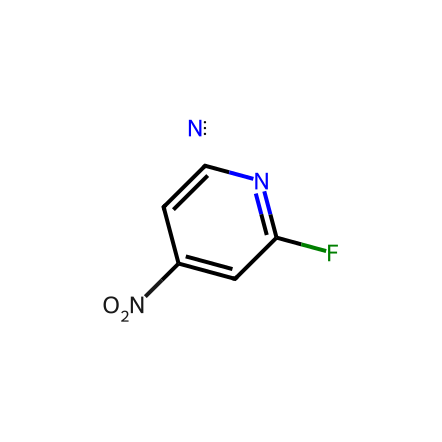 O=[N+]([O-])c1ccnc(F)c1.[N]